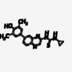 Cc1cc(-c2ccc3ncc(NC(=S)NC4CC4)nc3c2)cc(C)c1O